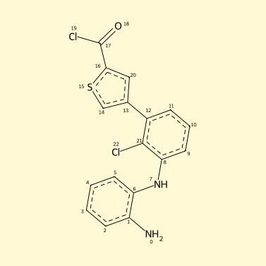 Nc1ccccc1Nc1cccc(-c2csc(C(=O)Cl)c2)c1Cl